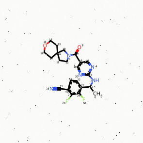 CC(Nc1ncc(C(=O)N2CCC3(CCOCC3)C2)cn1)c1ccc(C#N)c(F)c1F